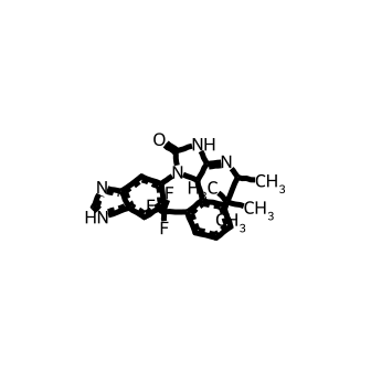 CC(N=C1NC(=O)N(c2ccc3[nH]cnc3c2)C1c1ccccc1C(F)(F)F)C(C)(C)C